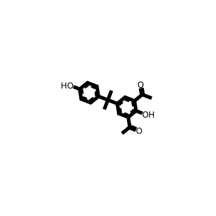 CC(=O)c1cc(C(C)(C)c2ccc(O)cc2)cc(C(C)=O)c1O